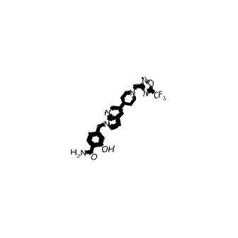 NC(=O)c1ccc(Cn2ccc3cc(C4CCN(Cc5noc(C(F)(F)F)n5)CC4)cnc32)cc1O